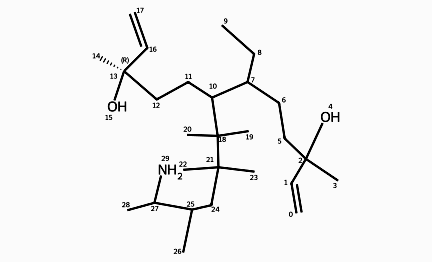 C=CC(C)(O)CCC(CC)C(CC[C@@](C)(O)C=C)C(C)(C)C(C)(C)CC(C)C(C)N